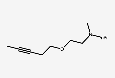 CC#CCCOCCN(C)CCC